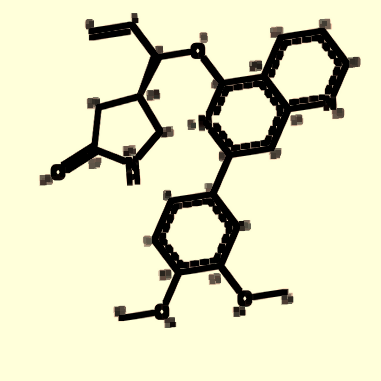 C=CC(Oc1nc(-c2ccc(OC)c(OC)c2)cc2ncccc12)[C@H]1CNC(=O)C1